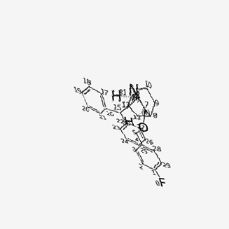 Fc1ccc(CO[C@@H]2C3CCN(CC3)[C@@H]2C(c2ccccc2)c2ccccc2)cc1